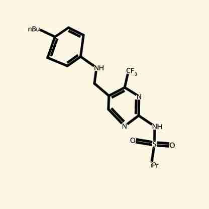 CCCCc1ccc(NCc2cnc(NS(=O)(=O)C(C)C)nc2C(F)(F)F)cc1